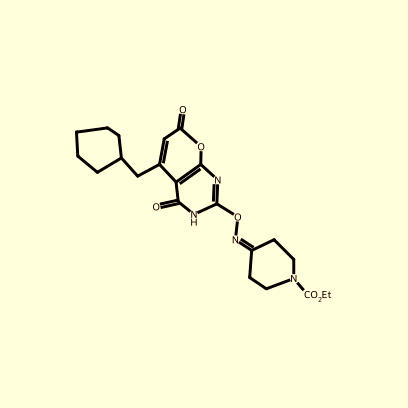 CCOC(=O)N1CCC(=NOc2nc3oc(=O)cc(CC4CCCCC4)c3c(=O)[nH]2)CC1